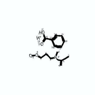 CC(C)N(C)CCCOCl.O=C(O)c1ccccc1.[H+]